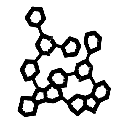 c1ccc(-c2nc(-c3ccccc3)nc(-c3cccc(-n4c5ccccc5c5cc(-c6ccc7sc8cccc(-c9nc(-c%10ccccc%10)nc(-c%10ccccc%10)n9)c8c7c6)ccc54)c3)n2)cc1